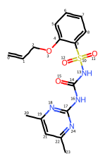 C=CCOc1ccccc1S(=O)(=O)NC(=O)Nc1nc(C)cc(C)n1